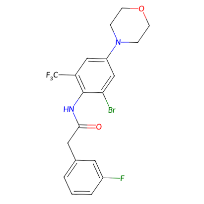 O=C(Cc1cccc(F)c1)Nc1c(Br)cc(N2CCOCC2)cc1C(F)(F)F